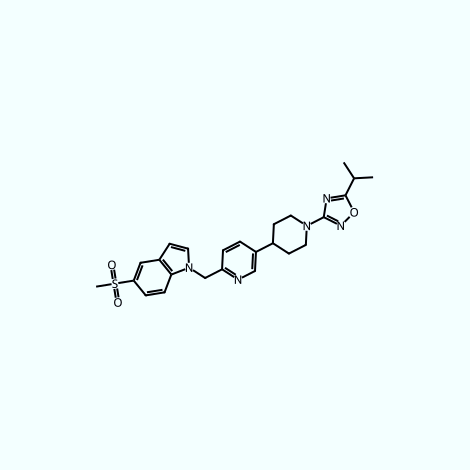 CC(C)c1nc(N2CCC(c3ccc(Cn4ccc5cc(S(C)(=O)=O)ccc54)nc3)CC2)no1